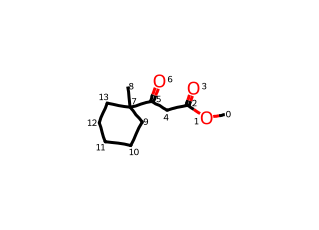 COC(=O)CC(=O)C1(C)CCCCC1